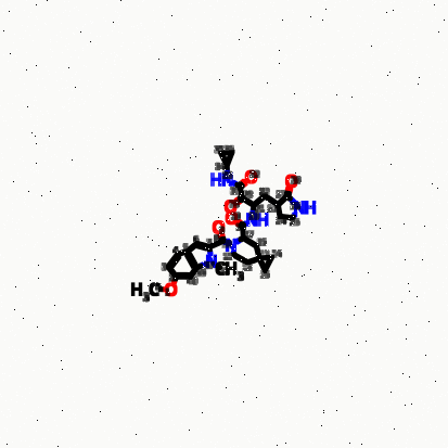 COc1ccc2cc(C(=O)N3CCC4(CC4)CC3C(=O)NC(CC3CCNC3=O)C(=O)C(=O)NC3CC3)n(C)c2c1